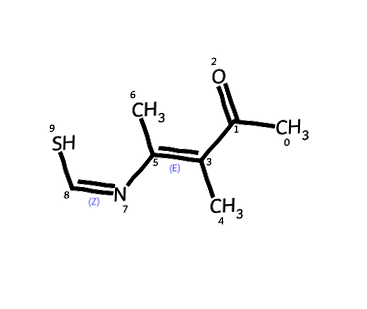 CC(=O)/C(C)=C(C)/N=C\S